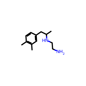 Cc1ccc(CC(C)NCCN)cc1C